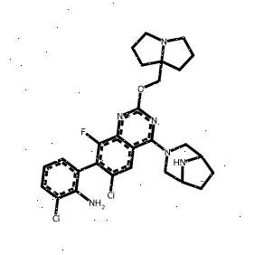 Nc1c(Cl)cccc1-c1c(Cl)cc2c(N3CC4CCC(C3)N4)nc(OCC34CCCN3CCC4)nc2c1F